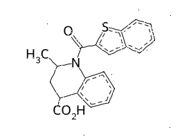 CC1CC(C(=O)O)c2ccccc2N1C(=O)c1cc2ccccc2s1